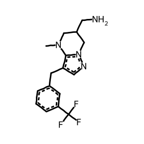 CN1CC(CN)Cn2ncc(Cc3cccc(C(F)(F)F)c3)c21